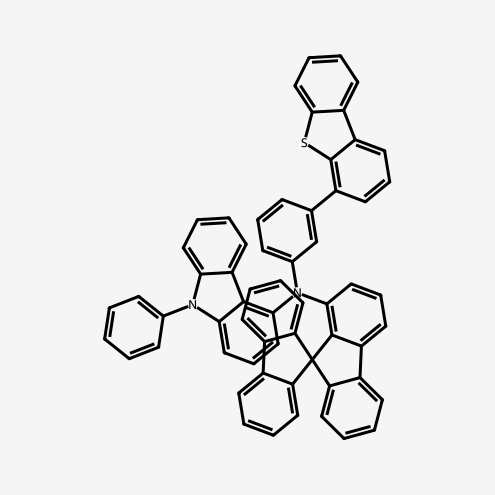 c1ccc(-n2c3ccccc3c3c(N(c4cccc(-c5cccc6c5sc5ccccc56)c4)c4cccc5c4C4(c6ccccc6-c6ccccc64)c4ccccc4-5)cccc32)cc1